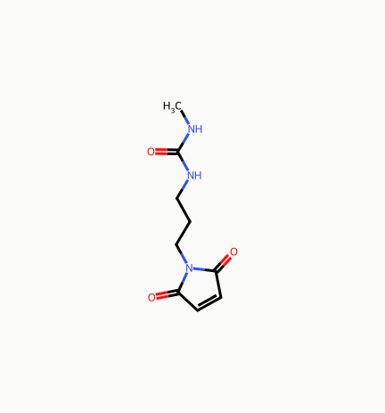 CNC(=O)NCCCN1C(=O)C=CC1=O